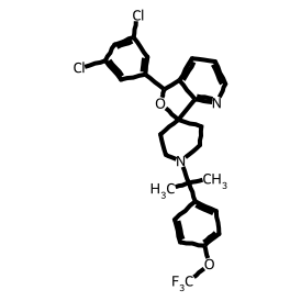 CC(C)(c1ccc(OC(F)(F)F)cc1)N1CCC2(CC1)OC(c1cc(Cl)cc(Cl)c1)c1cccnc12